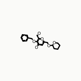 O=Cc1oc(COC2CCCCO2)cc(=O)c1OCc1ccccc1